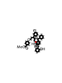 COC(=O)c1ccc(OCCc2c(CCNS(=O)(=O)Cc3ccccc3O)n(C(c3ccccc3)c3ccccc3)c3ccc(Cl)cc23)cc1